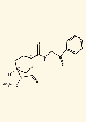 O=C(CNC(=O)[C@@H]1CC[C@H]2CN1C(=O)N2OS(=O)(=O)O)c1ccccc1